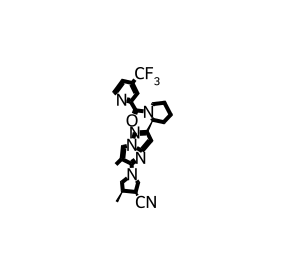 Cc1cn2nc([C@@H]3CCCCN3C(=O)c3cc(C(F)(F)F)ccn3)cc2nc1N1C[C@@H](C#N)[C@@H](C)C1